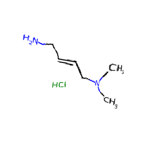 CN(C)CC=CCN.Cl